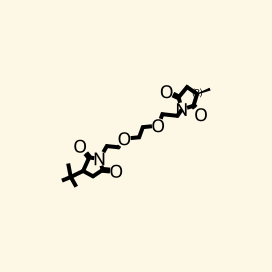 C[C@@H]1CC(=O)N(CCOCCOCCN2C(=O)CC(C(C)(C)C)C2=O)C1=O